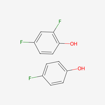 Oc1ccc(F)cc1.Oc1ccc(F)cc1F